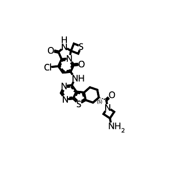 NC1CN(C(=O)[C@H]2CCc3c(sc4ncnc(Nc5cc(Cl)c6n(c5=O)C5(CSC5)NC6=O)c34)C2)C1